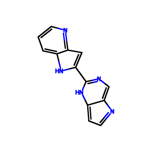 c1cnc2cc(-c3ncc4nccc-4[nH]3)[nH]c2c1